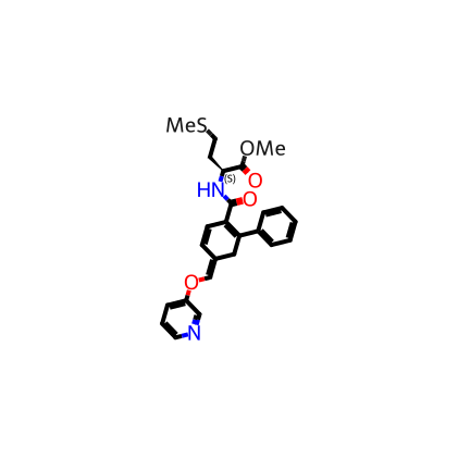 COC(=O)[C@H](CCSC)NC(=O)C1=C(c2ccccc2)CC(=COc2cccnc2)C=C1